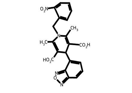 CC1=C(C(=O)O)C(c2cccc3nonc23)C(C(=O)O)=C(C)N1Cc1ccccc1[N+](=O)[O-]